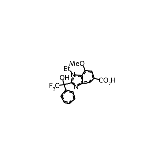 CCn1c(C(O)(c2ccccc2)C(F)(F)F)nc2cc(C(=O)O)cc(OC)c21